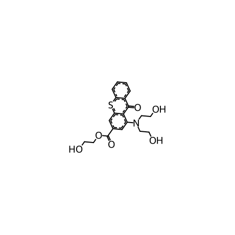 O=C(OCCO)c1cc(N(CCO)CCO)c2c(=O)c3ccccc3sc2c1